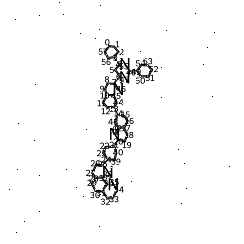 c1ccc(-c2cc(-c3ccc4ccc(-c5ccc6ccc(-c7ccc(-c8ccc9ccc%10cccnc%10c9n8)cc7)nc6c5)cc4n3)nc(-c3ccccc3)n2)cc1